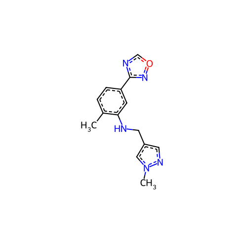 Cc1ccc(-c2ncon2)cc1NCc1cnn(C)c1